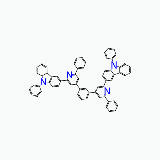 C1=CC2c3cc(-c4cc(-c5cccc(-c6cc(-c7ccccc7)nc(-c7ccc8c(c7)c7ccccc7n8-c7ccccc7)c6)c5)cc(-c5ccccc5)n4)ccc3N(c3ccccc3)C2C=C1